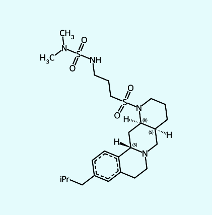 CC(C)Cc1ccc2c(c1)CCN1C[C@@H]3CCCN(S(=O)(=O)CCCNS(=O)(=O)N(C)C)[C@@H]3C[C@@H]21